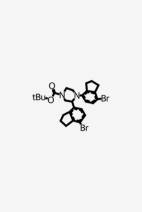 CC(C)(C)OC(=O)N1CCN(c2ccc(Br)c3c2CCC3)C(c2ccc(Br)c3c2CCC3)C1